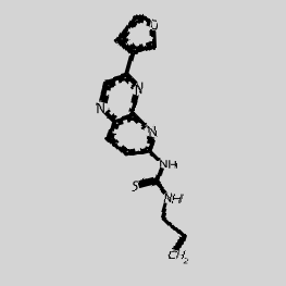 C=CCNC(=S)Nc1ccc2ncc(-c3ccoc3)nc2n1